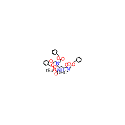 CC(C)(C)OC(=O)NC(CCC(=O)N(CC=O)CC(=O)OCc1ccccc1)C(=O)N(CC(=O)OCc1ccccc1)CC(=O)OCc1ccccc1